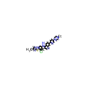 CCN1CCN(c2ccc(-c3ccc4c(Nc5ccc(Sc6nc(C)c[nH]6)c(Cl)c5)c(C#N)cnc4c3)nc2)CC1